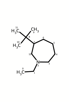 CCN1CCCCC(C(C)(C)C)C1